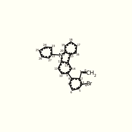 C=Cc1c(Br)cccc1-c1ccc2c(c1)c1ccccc1n2-c1ccccc1